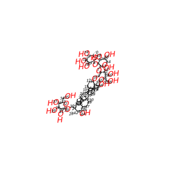 C[C@@H]1O[C@@H](O[C@H]2[C@H](O[C@H]3[C@H](O[C@H]4CC[C@@]5(C)[C@@H](CC[C@]6(C)[C@@H]5CC=C5[C@@H]7C[C@](C)(CO[C@@H]8O[C@H](CO)[C@@H](O)[C@H](O)[C@H]8O)C[C@@H](O)[C@]7(C)CC[C@]56C)[C@]4(C)CO)O[C@H](CO)[C@@H](O)[C@@H]3O)OC[C@@H](O)[C@@H]2O)[C@H](O)[C@H](O)[C@H]1O